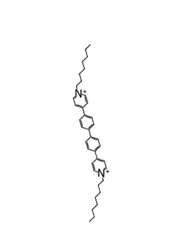 CCCCCCCC[n+]1ccc(-c2ccc(-c3ccc(-c4cc[n+](CCCCCCCC)cc4)cc3)cc2)cc1